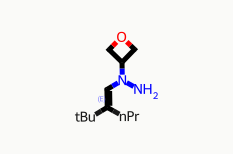 CCC/C(=C\N(N)C1COC1)C(C)(C)C